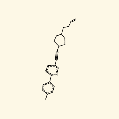 C=CCCC1CCC(C#Cc2cnc(-c3ccc(F)cc3)nc2)CC1